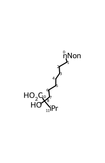 CCCCCCCCCCCCCCCCC(O)(C(=O)O)C(C)C